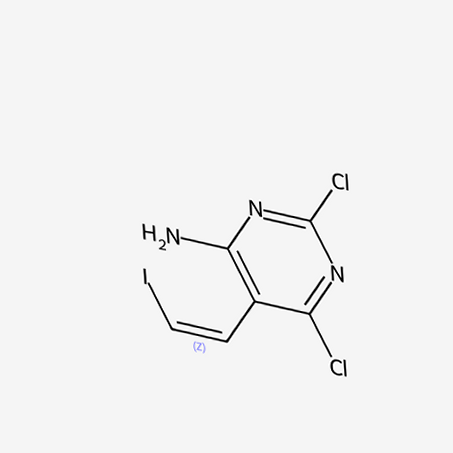 Nc1nc(Cl)nc(Cl)c1/C=C\I